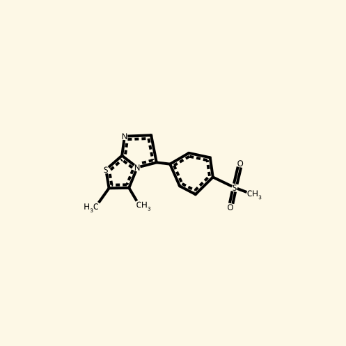 Cc1sc2ncc(-c3ccc(S(C)(=O)=O)cc3)n2c1C